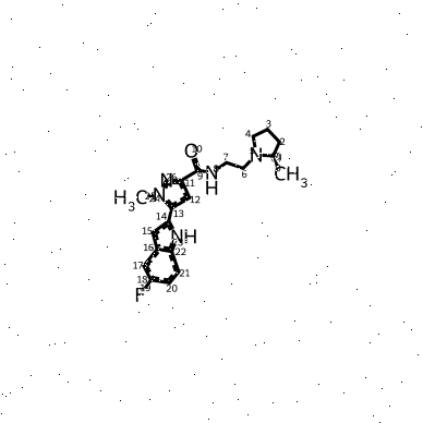 C[C@@H]1CCCN1CCNC(=O)c1cc(-c2cc3cc(F)ccc3[nH]2)n(C)n1